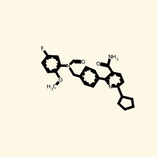 COc1ccc(F)cc1N(C=O)Cc1ccc(-c2nc(C3CCCC3)ccc2C(N)=O)cc1